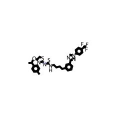 Cc1ccc(C(C)C)c(N2C(=O)CS/C2=N\C(=S)NCCCCc2cccc(-c3ncn(-c4ccc(C(F)(F)F)cc4)n3)c2)c1